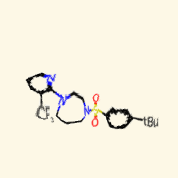 CC(C)(C)c1ccc(S(=O)(=O)N2CCCN(c3ncccc3C(F)(F)F)CC2)cc1